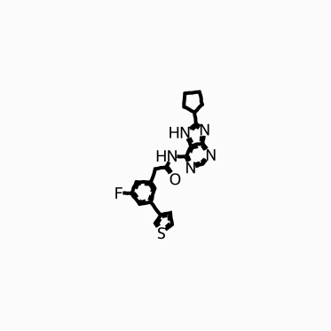 O=C(Cc1cc(F)cc(-c2ccsc2)c1)Nc1ncnc2nc(C3CCCC3)[nH]c12